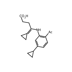 CC(=O)c1ccc(C2CC2)cc1NC(CCC(=O)O)=C1CC1